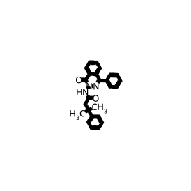 CC(C)(CC(=O)Nn1nc(-c2ccccc2)c2ccccc2c1=O)c1ccccc1